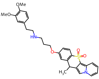 COc1ccc(CCNCCCOc2ccc3c(c2)C(C)c2cn4ccccc4c2S3(=O)=O)cc1OC